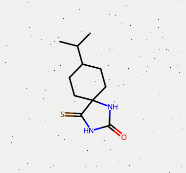 CC(C)C1CCC2(CC1)NC(=O)NC2=S